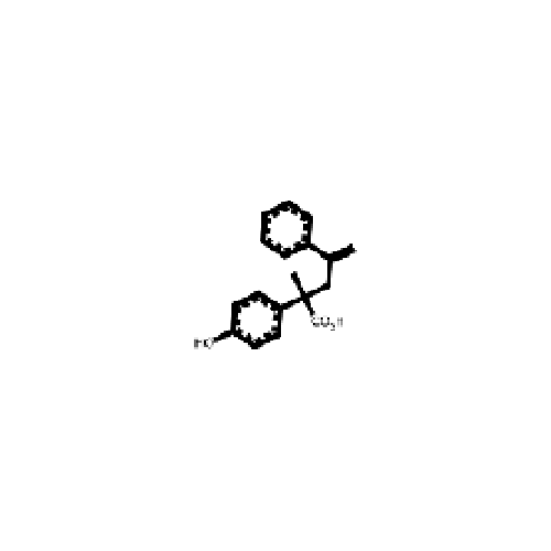 C=C(CC(C)(C(=O)O)c1ccc(O)cc1)c1ccccc1